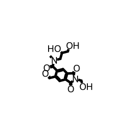 CN(CC(O)CO)C(=O)c1cc2c(cc1C=O)C(=O)N(CO)C2=O